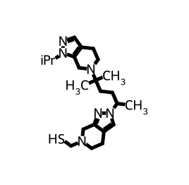 CC(CCC(C)(C)N1CCc2cnn(C(C)C)c2C1)n1cc2c(n1)CN(CS)CC2